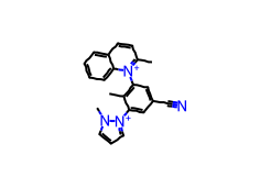 Cc1c(-[n+]2c(C)ccc3ccccc32)cc(C#N)cc1-[n+]1cccn1C